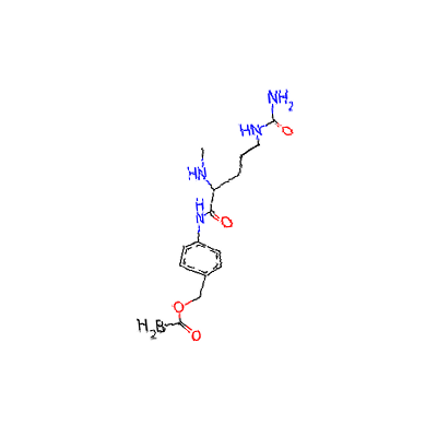 BC(=O)OCc1ccc(NC(=O)C(CCCNC(N)=O)NC)cc1